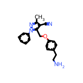 Cc1nn(-c2ccccc2)c(COc2ccc(CCN)cc2)c1C#N